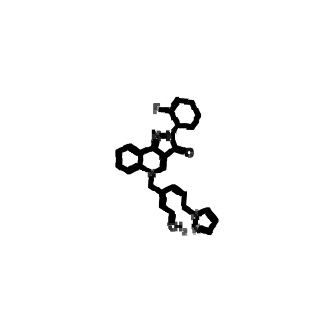 C=C/C=C(\C=C/Cn1cccn1)Cn1cc2c(=O)n([C@@H]3CCCCC3F)nc-2c2ccccc21